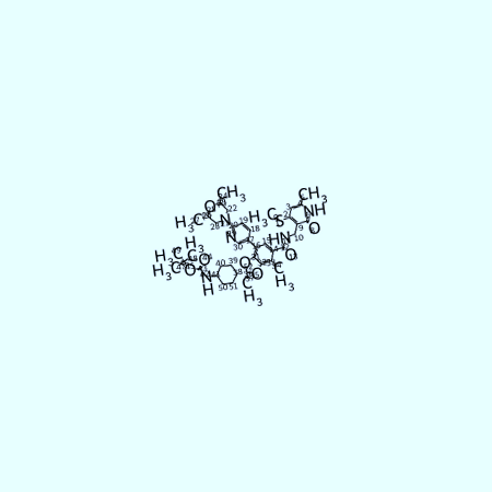 CSc1cc(C)[nH]c(=O)c1CNC(=O)c1cc(-c2ccc(N3C[C@@H](C)O[C@@H](C)C3)nc2)c2c(c1C)OC(C)([C@H]1CC[C@H](NC(=O)OC(C)(C)C)CC1)O2